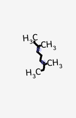 CC/C(C)=C/C/C=C(\C)CC